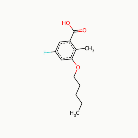 CCCCCOc1cc(F)cc(C(=O)O)c1C